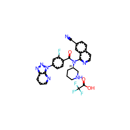 N#Cc1ccc2ccnc(N(C(=O)c3ccc(-n4nnc5cccnc54)cc3F)[C@@H]3CCCNC3)c2c1.O=C(O)C(F)(F)F